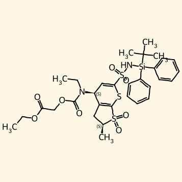 CCOC(=O)COC(=O)N(CC)[C@H]1C=C(S(=O)(=O)N[Si](c2ccccc2)(c2ccccc2)C(C)(C)C)SC2=C1C[C@H](C)S2(=O)=O